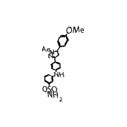 COc1ccc(C2CC(c3ccc(Nc4cccc(S(N)(=O)=O)c4)cc3)=NN2C(C)=O)cc1